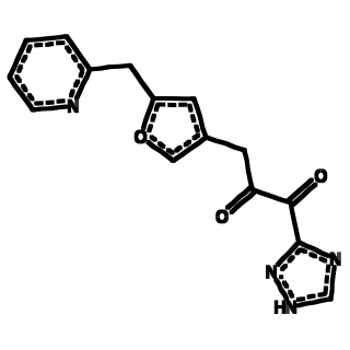 O=C(Cc1coc(Cc2ccccn2)c1)C(=O)c1nc[nH]n1